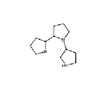 C1C[N]C(C2CCCN2C2CCNC2)C1